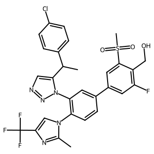 Cc1nc(C(F)(F)F)cn1-c1ccc(-c2cc(F)c(CO)c(S(C)(=O)=O)c2)cc1-n1nncc1C(C)c1ccc(Cl)cc1